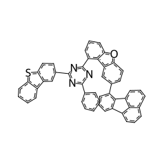 c1ccc(-c2nc(-c3ccc4sc5ccccc5c4c3)nc(-c3cccc4oc5ccc(-c6cccc7c6-c6cccc8cccc-7c68)cc5c34)n2)cc1